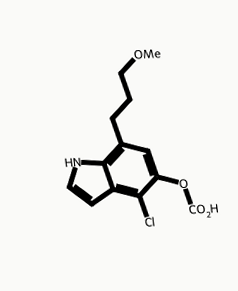 COCCCc1cc(OC(=O)O)c(Cl)c2cc[nH]c12